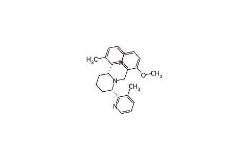 COc1ccccc1CN1[C@@H](c2ncccc2C)CCC[C@H]1c1ncccc1C